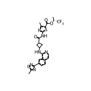 Cc1nc(-c2ccc3ccnc(NC4CC(C(=O)Nc5nc(C)c(C(=O)O[C@H](C)C(F)(F)F)s5)C4)c3c2)no1